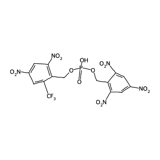 O=[N+]([O-])c1cc([N+](=O)[O-])c(COP(=O)(O)OCc2c([N+](=O)[O-])cc([N+](=O)[O-])cc2C(F)(F)F)c([N+](=O)[O-])c1